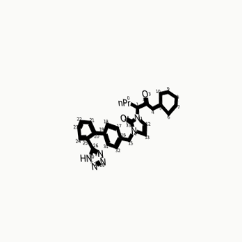 CCCC(C(=O)CC1CCCCC1)n1ccn(Cc2ccc(-c3ccccc3-c3nnn[nH]3)cc2)c1=O